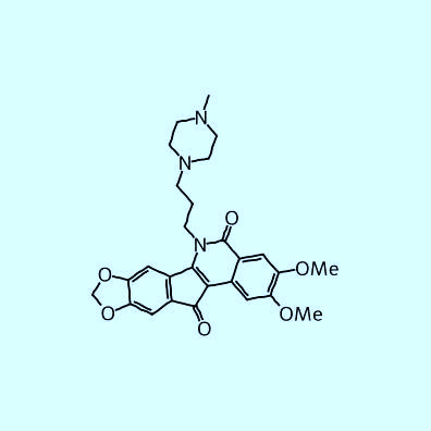 COc1cc2c3c(n(CCCN4CCN(C)CC4)c(=O)c2cc1OC)-c1cc2c(cc1C3=O)OCO2